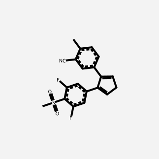 Cc1ccc(C2=CCC=C2c2cc(F)c(S(C)(=O)=O)c(F)c2)cc1C#N